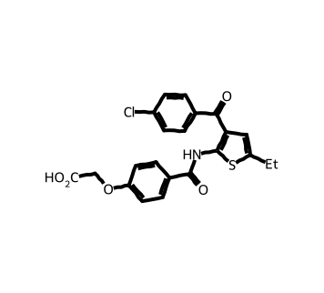 CCc1cc(C(=O)c2ccc(Cl)cc2)c(NC(=O)c2ccc(OCC(=O)O)cc2)s1